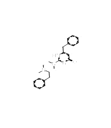 CN(C[C@H](Cc1ccccc1)N(C)C)c1nc(=O)cc(Cc2ccccc2)[nH]1